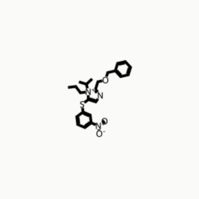 CCC[N+]1(C(C)C)C(Sc2cccc([N+](=O)[O-])c2)=CN=C1COCc1ccccc1